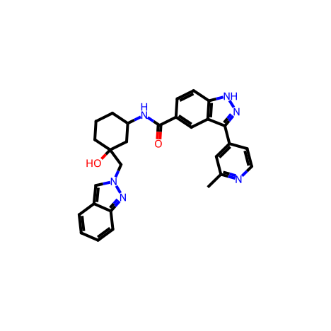 Cc1cc(-c2n[nH]c3ccc(C(=O)NC4CCCC(O)(Cn5cc6ccccc6n5)C4)cc23)ccn1